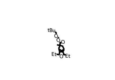 CCC1OC(CC)C2C1C1CC2C(C)(C(=O)OCOCC(C)(C)C)C1